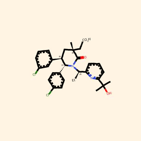 CC[C@H](c1cccc(C(C)(C)O)n1)N1C(=O)[C@@](C)(CC(=O)O)C[C@H](c2cccc(Cl)c2)[C@H]1c1ccc(Cl)cc1